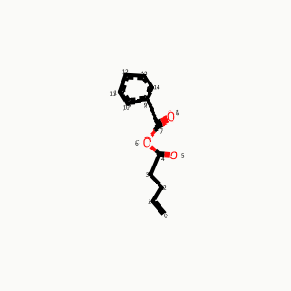 C=CCCC(=O)OC(=O)c1ccccc1